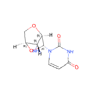 N[C@H]1[C@H]2OC[C@@H]1O[C@H]2n1ccc(=O)[nH]c1=O